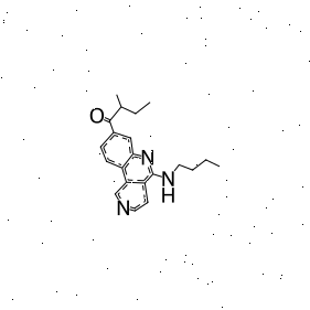 CCCCNc1nc2cc(C(=O)C(C)CC)ccc2c2cnccc12